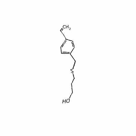 C=Cc1ccc(CSCCCO)cc1